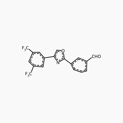 O=Cc1cccc(-c2nc(-c3cc(C(F)(F)F)cc(C(F)(F)F)c3)co2)c1